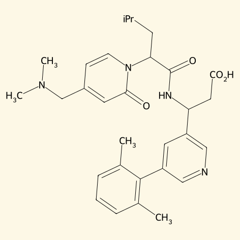 Cc1cccc(C)c1-c1cncc(C(CC(=O)O)NC(=O)C(CC(C)C)n2ccc(CN(C)C)cc2=O)c1